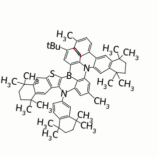 Cc1ccc(-c2cc3c(cc2N2c4ccc(C(C)(C)C)cc4B4c5sc6cc7c(cc6c5N(c5ccc6c(c5)C(C)(C)CCC6(C)C)c5cc(C)cc2c54)C(C)(C)CCC7(C)C)C(C)(C)CCC3(C)C)cc1